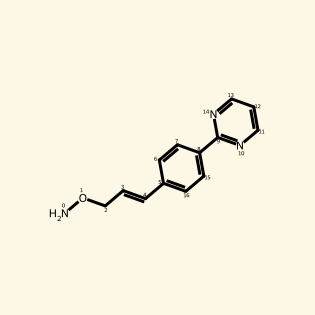 NOC/C=C/c1ccc(-c2ncccn2)cc1